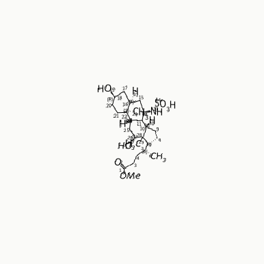 COC(=O)CC[C@@H](C)[C@H]1CC[C@H]2C3[C@H](NS(=O)(=O)O)C[C@@H]4C[C@H](O)CC[C@]4(C)[C@H]3C[C@H](O)C12C